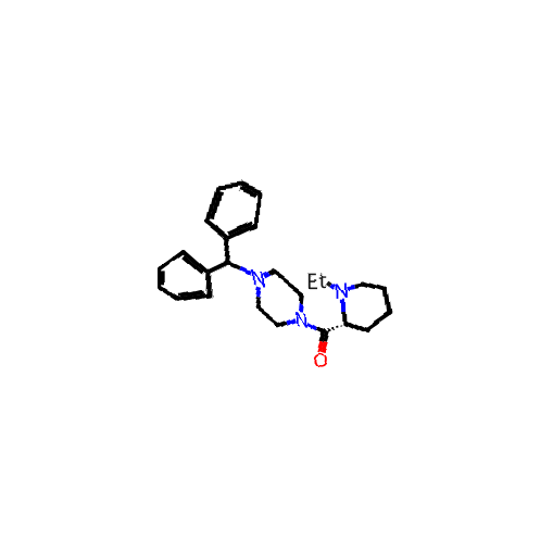 CCN1CCCC[C@@H]1C(=O)N1CCN(C(c2ccccc2)c2ccccc2)CC1